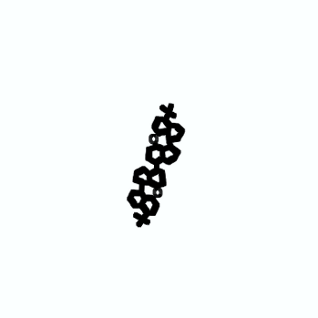 CC(C)(C)c1ccc2oc3ccc(-c4ccc5oc6ccc(C(C)(C)C)c7cccc(c8cccc4c58)c67)c4cccc(c5cccc1c25)c34